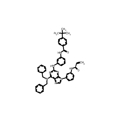 C=CC(=O)Nc1cccc(-n2cnc3c(N(Cc4ccccc4)Cc4ccccc4)nc(Nc4cccc(NC(=O)c5ccc(C(C)(C)C)cc5)c4)nc32)c1